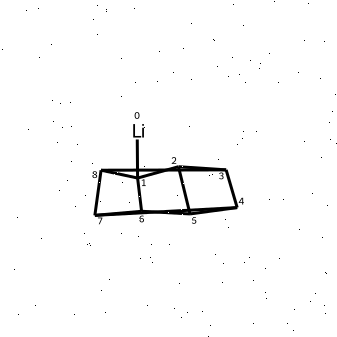 [Li][C]12C3C4C5C3C1C5C42